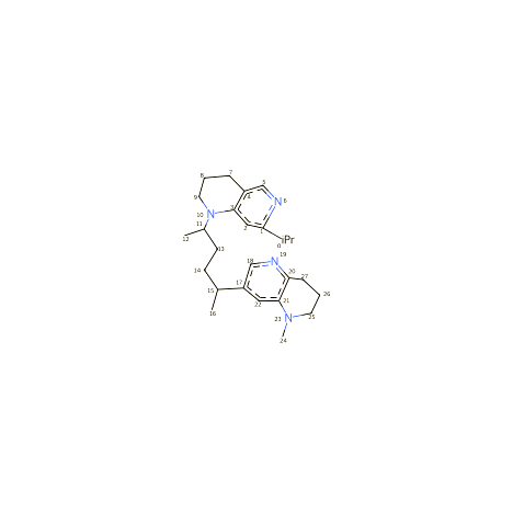 CC(C)c1cc2c(cn1)CCCN2C(C)CCC(C)c1cnc2c(c1)N(C)CCC2